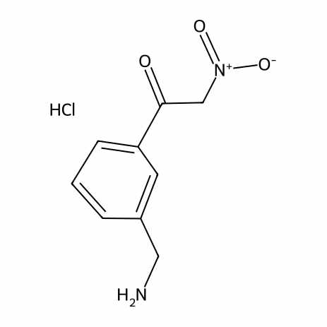 Cl.NCc1cccc(C(=O)C[N+](=O)[O-])c1